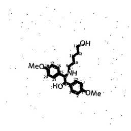 COc1ccc(C(O)C(NCCCCCO)c2ccc(OC)cc2)cc1